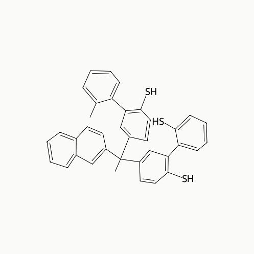 Cc1ccccc1-c1cc(C(C)(c2ccc(S)c(-c3ccccc3S)c2)c2ccc3ccccc3c2)ccc1S